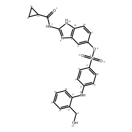 O=C(Nc1nc2cc(OS(=O)(=O)c3ccc(Nc4ccccc4CO)cc3)ccc2[nH]1)C1CC1